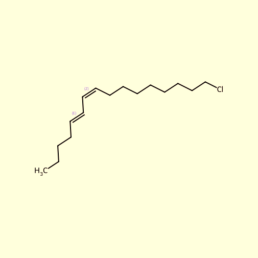 CCCC/C=C/C=C\CCCCCCCCCl